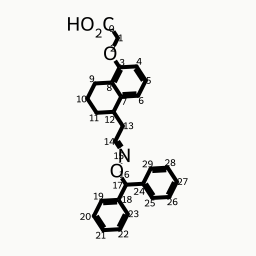 O=C(O)COc1cccc2c1CCCC2CC=NOC(c1ccccc1)c1ccccc1